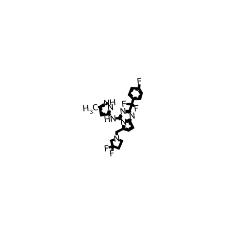 Cc1cc(Nc2nc(C(F)(F)c3ccc(F)cc3)nc3ccc(CN4CCC(F)(F)C4)n23)n[nH]1